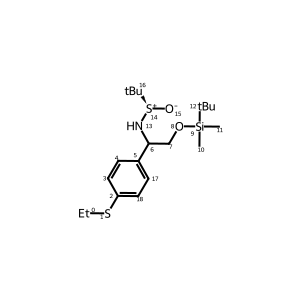 CCSc1ccc(C(CO[Si](C)(C)C(C)(C)C)N[S@+]([O-])C(C)(C)C)cc1